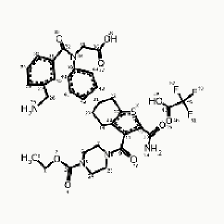 CCOC(=O)N1CCN(C(=O)c2c(C(N)=O)sc3c2CCCC3)CC1.NCc1cccc(C(=O)N(CC(=O)O)c2ccccc2)c1.O=C(O)C(F)(F)F